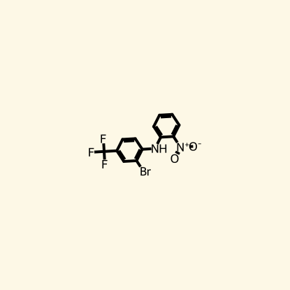 O=[N+]([O-])c1ccccc1Nc1ccc(C(F)(F)F)cc1Br